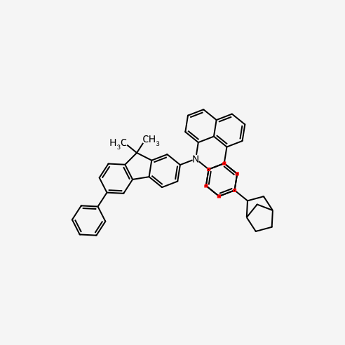 CC1(C)c2ccc(-c3ccccc3)cc2-c2ccc(N(c3ccc(C4CC5CCC4C5)cc3)c3cccc4cccc(C5CCCCC5)c34)cc21